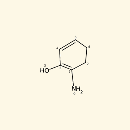 NC1=C(O)C=CCC1